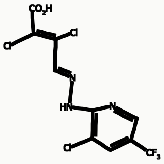 O=C(O)C(Cl)=C(Cl)C=NNc1ncc(C(F)(F)F)cc1Cl